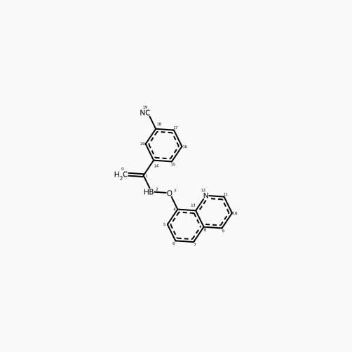 C=C(BOc1cccc2cccnc12)c1cccc(C#N)c1